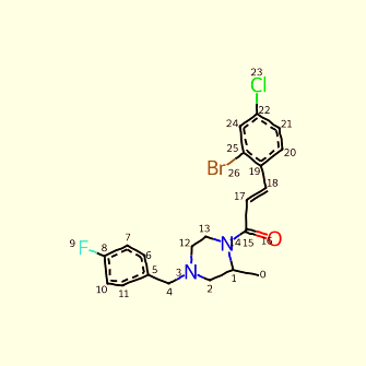 CC1CN(Cc2ccc(F)cc2)CCN1C(=O)C=Cc1ccc(Cl)cc1Br